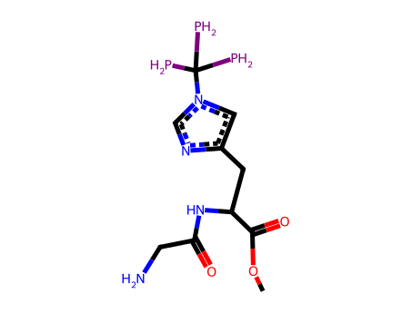 COC(=O)C(Cc1cn(C(P)(P)P)cn1)NC(=O)CN